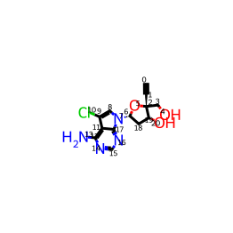 C#C[C@]1(CO)O[C@@H](n2cc(Cl)c3c(N)ncnc32)C[C@@H]1O